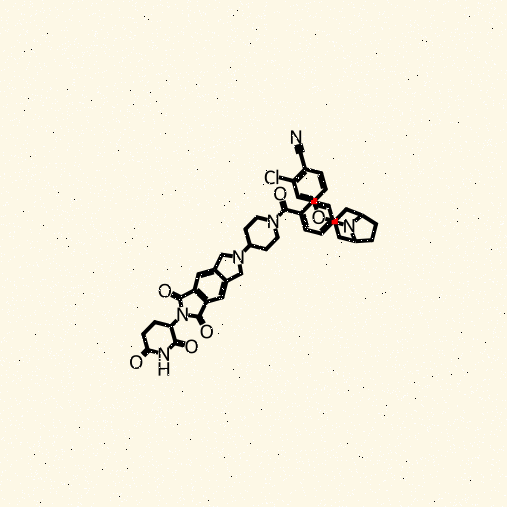 N#Cc1ccc(OC2CC3CCC(C2)N3c2ccc(C(=O)N3CCC(N4Cc5cc6c(cc5C4)C(=O)N(C4CCC(=O)NC4=O)C6=O)CC3)cc2)cc1Cl